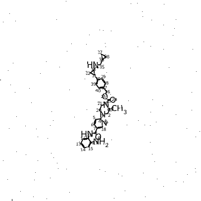 C[C@@H]1CN(c2ccc(C(=O)Nc3ccccc3N)cn2)CCN1C(=O)OCc1ccc(C2CC2NCC2CC2)cc1